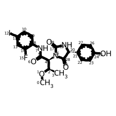 CO[C@H](C)[C@@H](C(=O)Nc1ccc(I)cc1F)N1C(=O)N[C@H](c2ccc(O)cc2)C1=O